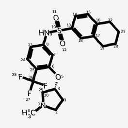 CN1CC[C@@H](Oc2cc(NS(=O)(=O)c3ccc4c(c3)CCCC4)ccc2C(F)(F)F)C1